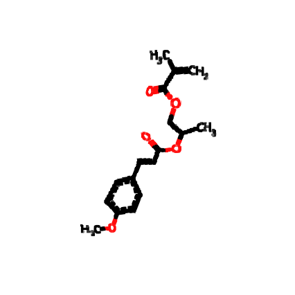 C=C(C)C(=O)OCC(C)OC(=O)C=Cc1ccc(OC)cc1